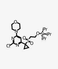 CC(C)[Si](OCCS(=O)(=O)C1(c2cc(N3CCOCC3)nc(Cl)n2)CC1)(C(C)C)C(C)C